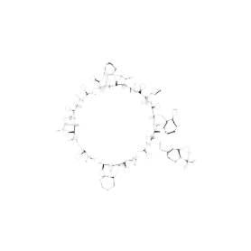 C=CC[C@H]1NC(=O)[C@H](Cc2ccccc2Cl)N(C)C(=O)[C@H](CCc2ccc(C(F)(F)F)c(Cl)c2)NC(=O)CN(C)C(=O)[C@H](CC2CCCCC2)N(C)C(=O)CN(C)C(=O)CN(C)C(=O)[C@H]([C@@H](C)CC)NC(=O)[C@H](C)N(C)C(=O)C[C@@H](C(=O)N2CCCC2)N(C)C(=O)[C@H](C(C)C)N(C)C1=O